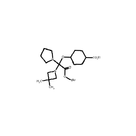 CCOC(=O)C1CCC(OC(C(=O)OC(C)(C)C)(N2CCCC2)N2CC(C)(C)C2)CC1